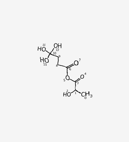 CC(O)C(=O)OC(=O)CCC(O)(O)O